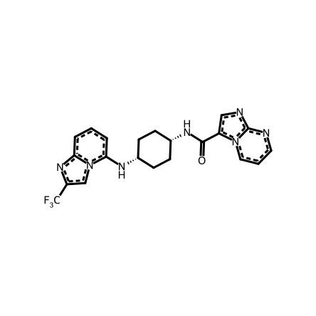 O=C(N[C@H]1CC[C@@H](Nc2cccc3nc(C(F)(F)F)cn23)CC1)c1cnc2ncccn12